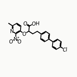 Cc1ccc(OC(CCc2ccc(-c3ccc(Cl)cc3)cc2)C(=O)O)c([N+](=O)[O-])n1